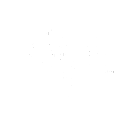 Cc1cc2c3c(c1)N(c1cccc4c1sc1ccccc14)c1cc(N4c5ccc(C(C)(C)C)cc5C5(C)CCCCC45C)ccc1B3c1ccc(C(C)(C)C)cc1N2c1ccc2c(c1)sc1ccccc12